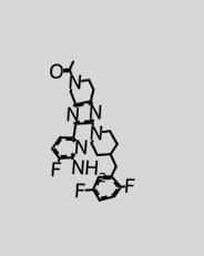 CC(=O)N1CCc2nc(N3CCC(Cc4cc(F)ccc4F)CC3)c(-c3ccc(F)c(N)n3)nc2C1